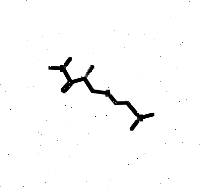 C=C([C@H](C)CSCCN(C)C)N(C)C